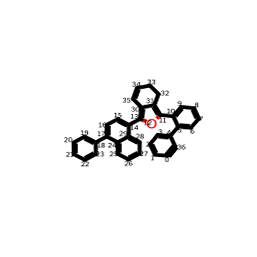 c1cccc(-c2ccccc2-c2oc(-c3ccc(-c4ccccc4)c4ccccc34)c3c2CCC=C3)c#1